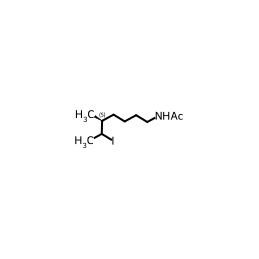 CC(=O)NCCCC[C@H](C)C(C)I